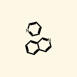 c1ccc2cnccc2c1.c1ccncc1